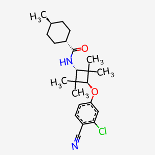 CC1(C)[C@H](NC(=O)[C@H]2CC[C@H](C)CC2)C(C)(C)[C@H]1Oc1ccc(C#N)c(Cl)c1